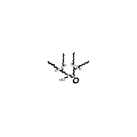 CCCCCCCC(=O)OCC(CCCCN(CCO)CCN(CCCCC(COC(=O)CCCCCCC)COC(=O)CCCCCCC)C1CCCCCC1)COC(=O)CCCCCCC